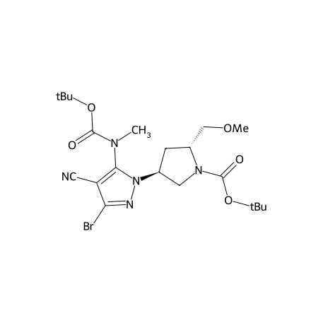 COC[C@H]1C[C@H](n2nc(Br)c(C#N)c2N(C)C(=O)OC(C)(C)C)CN1C(=O)OC(C)(C)C